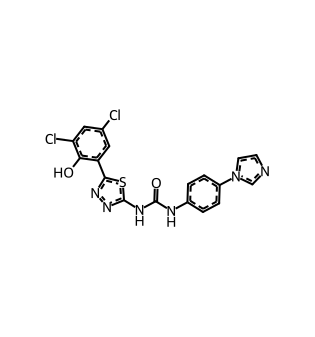 O=C(Nc1ccc(-n2ccnc2)cc1)Nc1nnc(-c2cc(Cl)cc(Cl)c2O)s1